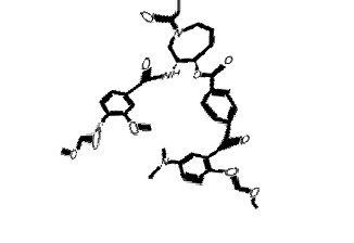 COCOc1ccc(C(=O)N[C@@H]2CN(C(=O)O)CCC[C@H]2OC(=O)c2ccc(C(=O)c3cc(N(C)C)ccc3OCOC)cc2)cc1OC